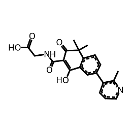 Cc1ncccc1-c1ccc2c(c1)C(O)=C(C(=O)NCC(=O)O)C(=O)C2(C)C